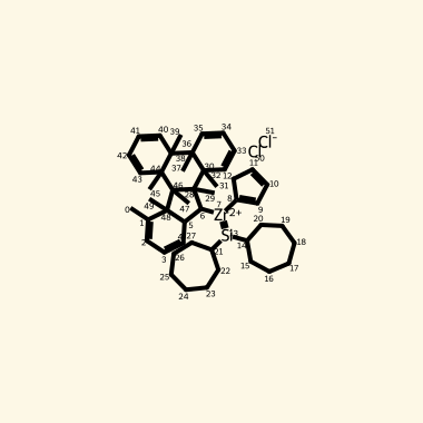 CC1=CC=CC2[CH]([Zr+2]([C]3=CC=CC3)=[Si](C3CCCCCC3)C3CCCCCC3)C3(C)C4(C)C=CC=CC4(C)C4(C)C=CC=CC4(C)C3(C)C12C.[Cl-].[Cl-]